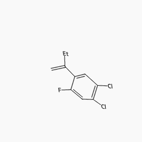 C=C(CC)c1cc(Cl)c(Cl)cc1F